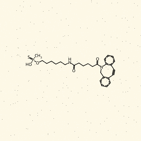 CP(O)(=S)OCCCCCCNC(=O)CCCCC(=O)N1Cc2ccccc2C#Cc2ccccc21